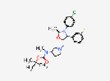 C=C1O[C@@H](CN2CCC(N(C)C(=O)OC(C)(C)C)C2)[C@H](c2cccc(F)c2)N1c1ccc(Cl)cc1